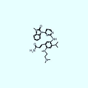 CC(C)c1cc(N(C)CCN(C)C)c(C=CC(N)=O)cc1Nc1nccc(-n2c(=O)n(C)c3ccccc32)n1